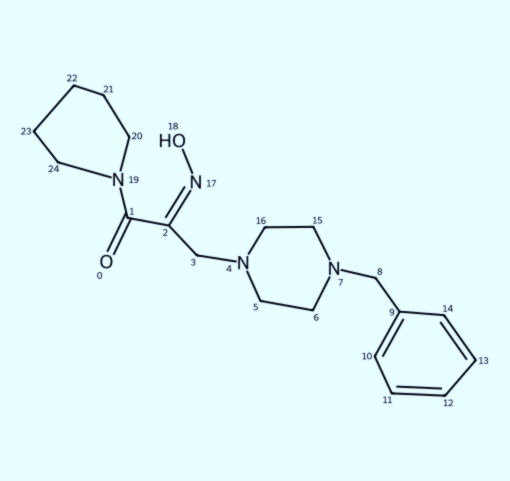 O=C(C(CN1CCN(Cc2ccccc2)CC1)=NO)N1CCCCC1